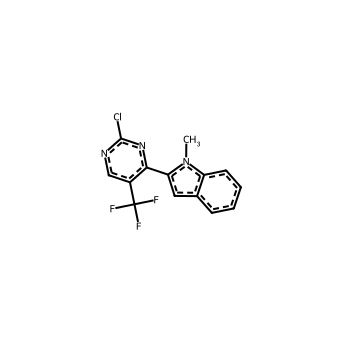 Cn1c(-c2nc(Cl)ncc2C(F)(F)F)cc2ccccc21